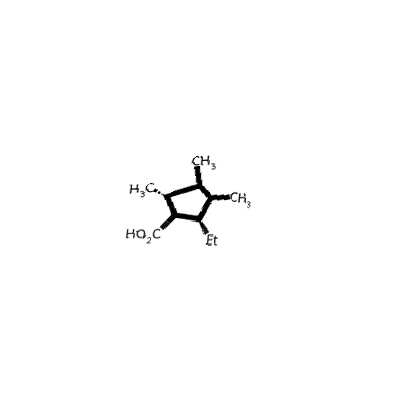 CC[C@@H]1C(C)C(C)[C@@H](C)C1C(=O)O